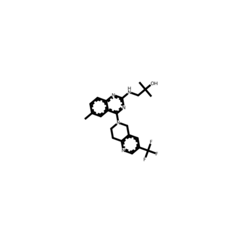 Cc1ccc2nc(NCC(C)(C)O)nc(N3CCc4ncc(C(F)(F)F)cc4C3)c2c1